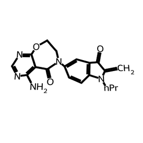 C=C1C(=O)c2cc(N3CCOc4ncnc(N)c4C3=O)ccc2N1CCC